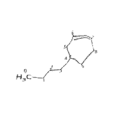 CCCC[C]1CC=CCC1